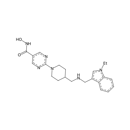 CCn1cc(CNCC2CCN(c3ncc(C(=O)NO)cn3)CC2)c2ccccc21